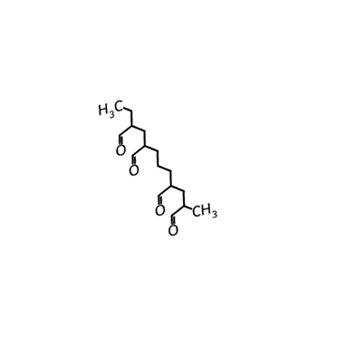 CCC(C=O)CC(C=O)CCCC(C=O)CC(C)C=O